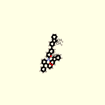 CC1(C)c2ccccc2-c2ccc(-c3ccc4cc(N(c5cccc(-c6ccccc6)c5-c5ccccc5)c5cccc6c5C(C)(C)c5ccccc5-6)ccc4c3)cc21